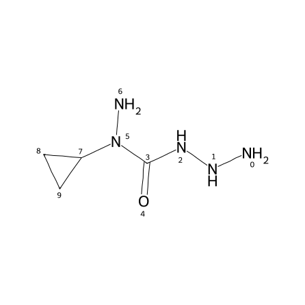 NNNC(=O)N(N)C1CC1